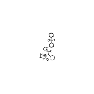 CNC(C)C(=O)NC(C(=O)N1CCC[C@@H]1c1cccc(S(=O)(=O)c2ccccc2)c1)C1CCCCC1